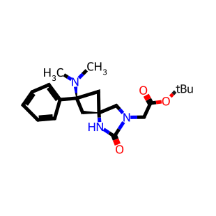 CN(C)[C@]1(c2ccccc2)C[C@]2(CN(CC(=O)OC(C)(C)C)C(=O)N2)C1